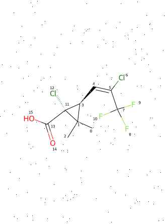 CC1(C)[C@H](/C=C(/Cl)C(F)(F)F)[C@]1(Cl)C(=O)O